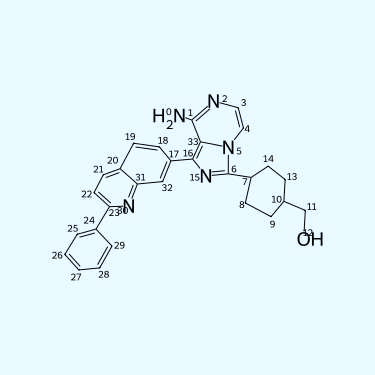 Nc1nccn2c(C3CCC(CO)CC3)nc(-c3ccc4ccc(-c5ccccc5)nc4c3)c12